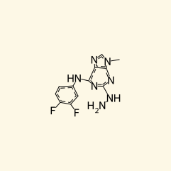 Cn1cnc2c(Nc3ccc(F)c(F)c3)nc(NN)nc21